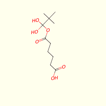 CC(C)(C)C(O)(O)OC(=O)CCCCC(=O)O